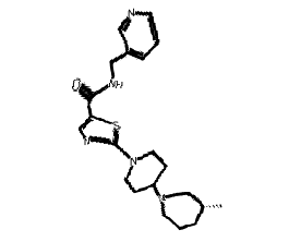 C[C@@H]1CCCN(C2CCN(c3ncc(C(=O)NCc4cccnc4)s3)CC2)C1